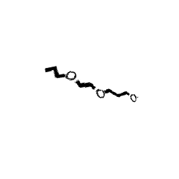 CCCOCCOCCC[O]